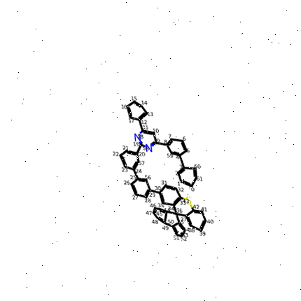 c1ccc(-c2cccc(-c3cc(-c4ccccc4)nc(-c4cccc(-c5cccc(-c6ccc7c(c6)C6(c8ccccc8S7)c7ccccc7-c7ccccc76)c5)c4)n3)c2)cc1